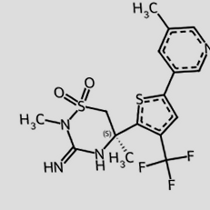 Cc1cncc(-c2cc(C(F)(F)F)c([C@]3(C)CS(=O)(=O)N(C)C(=N)N3)s2)c1